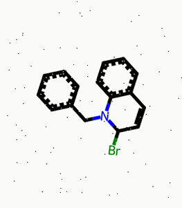 BrC1C=Cc2ccccc2N1Cc1ccccc1